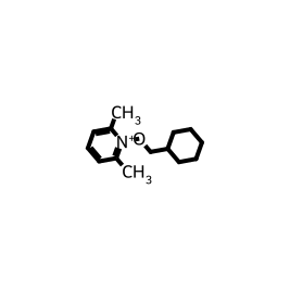 Cc1cccc(C)[n+]1OCC1CCCCC1